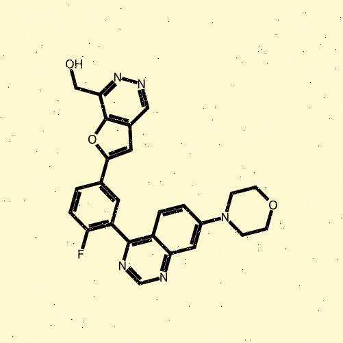 OCc1nncc2cc(-c3ccc(F)c(-c4ncnc5cc(N6CCOCC6)ccc45)c3)oc12